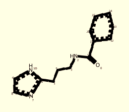 O=C(NCCCc1ncc[nH]1)c1c[c]ccc1